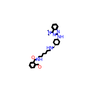 CN(C)c1nc(N[C@H]2CC[C@@H](CNCCCCCCNC(=O)c3ccccc3C=O)CC2)nc2ccccc12